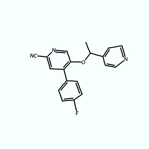 CC(Oc1cnc(C#N)cc1-c1ccc(F)cc1)c1ccncc1